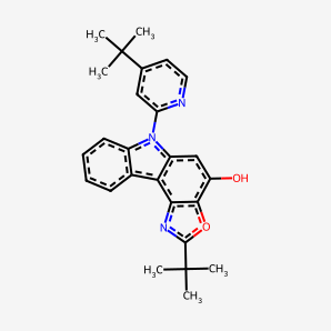 CC(C)(C)c1ccnc(-n2c3ccccc3c3c4nc(C(C)(C)C)oc4c(O)cc32)c1